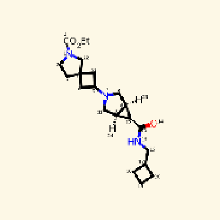 CCOC(=O)N1CCC2(CC(N3C[C@@H]4[C@H](C3)[C@@H]4C(=O)NCC3CCC3)C2)C1